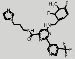 CC1C(F)=CC=C(CNc2cc(C(=O)NCCCn3ccnc3)nc(-c3cncc(C(F)(F)F)c3)n2)C1F